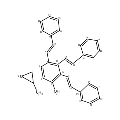 CC1CO1.Oc1ccc(C=Cc2ccccc2)c(C=Cc2ccccc2)c1C=Cc1ccccc1